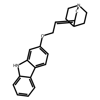 C(COc1ccc2c(c1)[nH]c1ccccc12)=C1CN2CCC1CC2